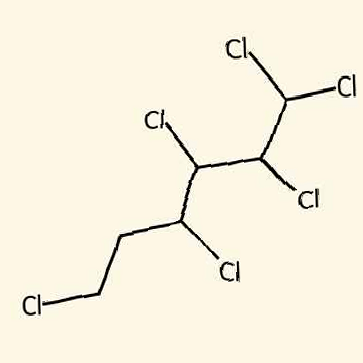 ClCCC(Cl)C(Cl)C(Cl)C(Cl)Cl